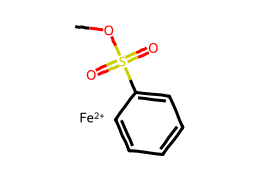 COS(=O)(=O)c1ccccc1.[Fe+2]